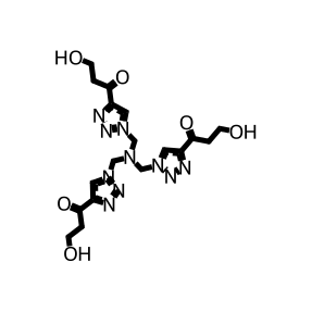 O=C(CCO)c1cn(CN(Cn2cc(C(=O)CCO)nn2)Cn2cc(C(=O)CCO)nn2)nn1